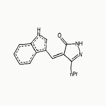 CCCC1=NNC(=O)C1=Cc1c[nH]c2ccccc12